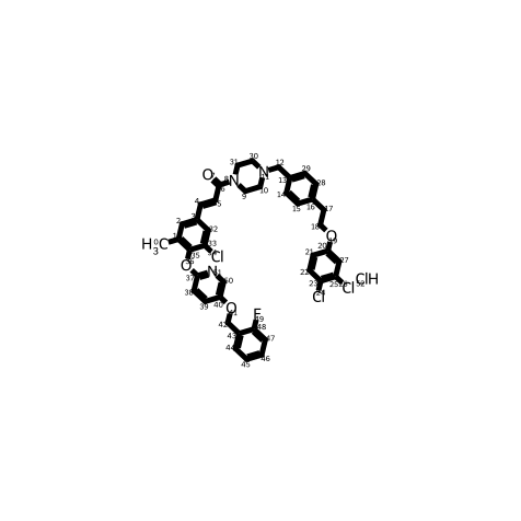 Cc1cc(/C=C/C(=O)N2CCN(Cc3ccc(CCOc4ccc(Cl)c(Cl)c4)cc3)CC2)cc(Cl)c1Oc1ccc(OCc2ccccc2F)cn1.Cl